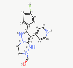 O=CN1CCn2nc(-c3ccc(F)cc3)c(-c3ccncc3)c2N1